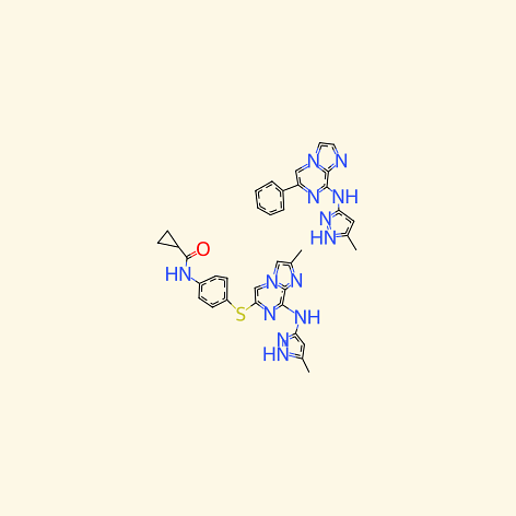 Cc1cc(Nc2nc(-c3ccccc3)cn3ccnc23)n[nH]1.Cc1cn2cc(Sc3ccc(NC(=O)C4CC4)cc3)nc(Nc3cc(C)[nH]n3)c2n1